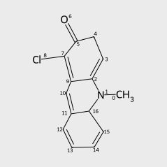 CN1C2=CCC(=O)C(Cl)=C2C=C2C=CC=CC21